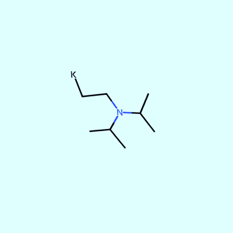 CC(C)N(C[CH2][K])C(C)C